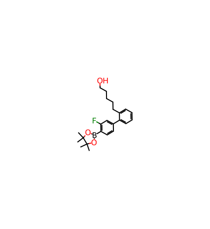 CC1(C)OB(c2ccc(-c3ccccc3CCCCCO)cc2F)OC1(C)C